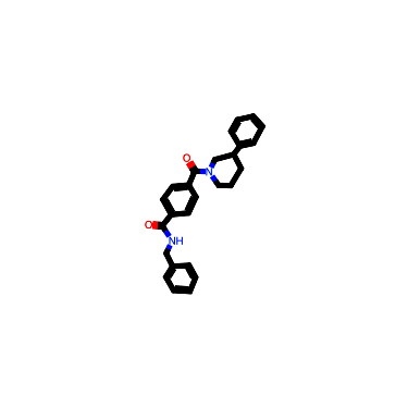 O=C(NCc1ccccc1)c1ccc(C(=O)N2CCCC(c3ccccc3)C2)cc1